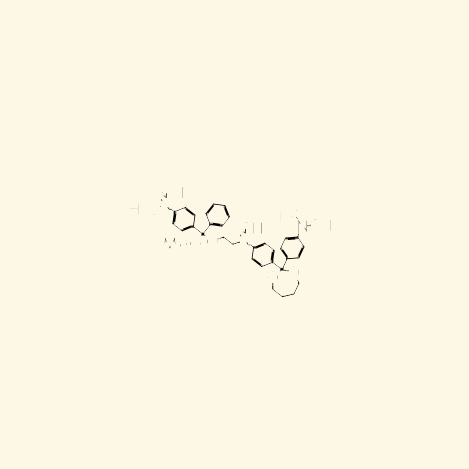 COC(OCCN(C)c1ccc(C2(c3ccc(N(C)C)cc3)OCCCCO2)cc1)(c1ccccc1)c1ccc(N(C)C)cc1